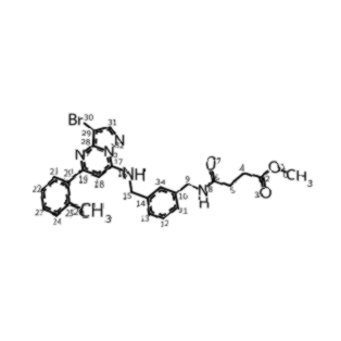 COC(=O)CCC(=O)NCc1cccc(CNc2cc(-c3ccccc3C)nc3c(Br)cnn23)c1